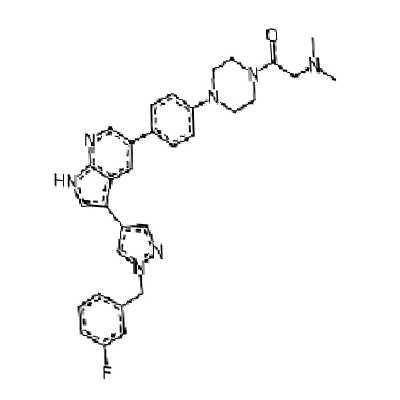 CN(C)CC(=O)N1CCN(c2ccc(-c3cnc4[nH]cc(-c5cnn(Cc6cccc(F)c6)c5)c4c3)cc2)CC1